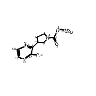 CC(C)(C)OC(=O)N1CCC(c2nccnc2F)C1